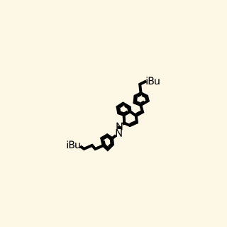 CCC(C)CCCc1ccc(/N=N/C2C=C/C(=C/c3ccc(CC(C)CC)cc3)c3ccccc32)cc1